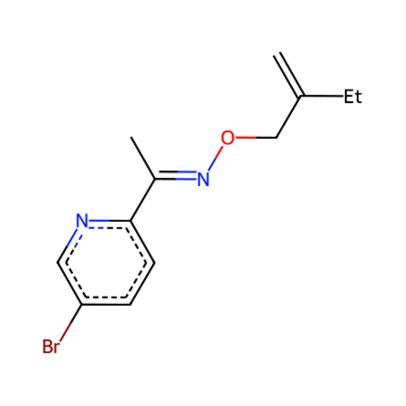 C=C(CC)CO/N=C(\C)c1ccc(Br)cn1